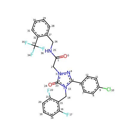 O=C(Cn1nc(-c2ccc(Cl)cc2)n(Cc2c(F)cccc2F)c1=O)NCc1ccccc1C(F)(F)F